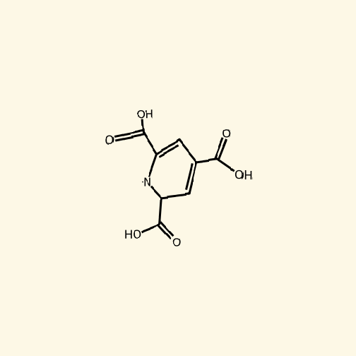 O=C(O)C1=CC(C(=O)O)[N]C(C(=O)O)=C1